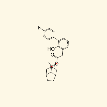 C[N+]1(C)CC2CCC(C1)C2COC(=O)Cc1cccc(-c2ccc(F)cc2)c1O